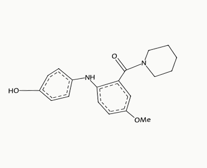 COc1ccc(Nc2ccc(O)cc2)c(C(=O)N2CCCCC2)c1